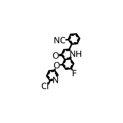 N#Cc1ccccc1-c1cc(=O)c2c(Oc3ccc(Cl)nc3)cc(F)cc2[nH]1